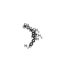 CCn1c(=O)c(-c2nc(C3CCN(C(C)=O)CC3)sc2C)cc2cnc(Nc3ccc(N4CCN(C)CC4)cc3)nc21